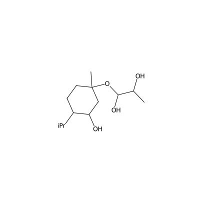 CC(C)C1CCC(C)(OC(O)C(C)O)CC1O